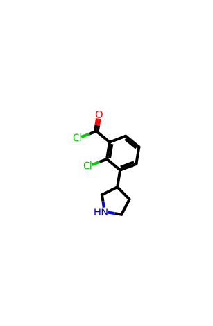 O=C(Cl)c1cccc(C2CCNC2)c1Cl